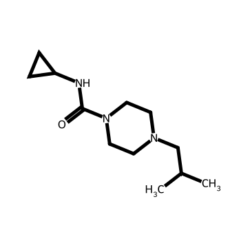 C[C](C)CN1CCN(C(=O)NC2CC2)CC1